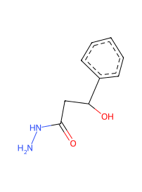 NNC(=O)CC(O)c1ccccc1